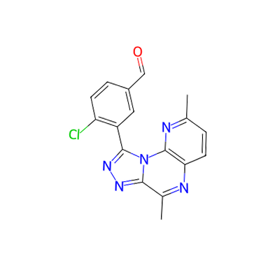 Cc1ccc2nc(C)c3nnc(-c4cc(C=O)ccc4Cl)n3c2n1